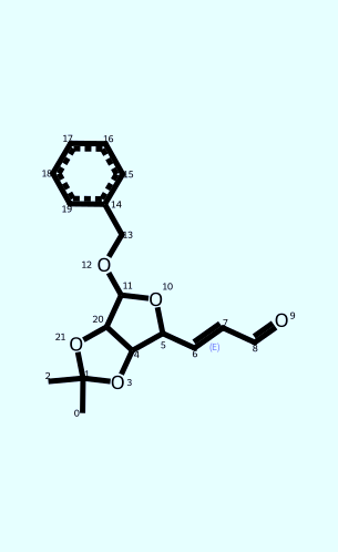 CC1(C)OC2C(/C=C/C=O)OC(OCc3ccccc3)C2O1